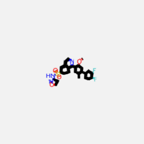 COc1cc(-c2ccc(F)c(F)c2)c(C)cc1-c1nccc2cc(S(=O)(=O)Nc3ccon3)ccc12